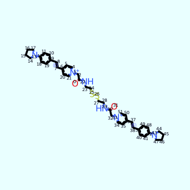 O=C(C[n+]1ccc(/C=C/c2ccc(N3CCCC3)cc2)cc1)NCCSSCCNC(=O)C[n+]1ccc(/C=C/c2ccc(N3CCCC3)cc2)cc1